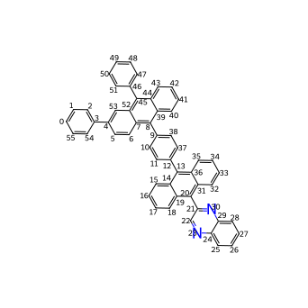 c1ccc(-c2ccc3c(-c4ccc(-c5c6ccccc6c(-c6cnc7ccccc7n6)c6ccccc56)cc4)c4ccccc4c(-c4ccccc4)c3c2)cc1